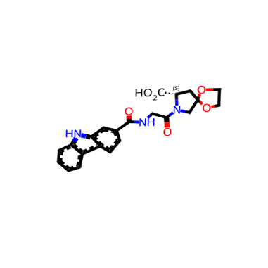 O=C(NCC(=O)N1CC2(C[C@H]1C(=O)O)OCCO2)c1ccc2c(c1)[nH]c1ccccc12